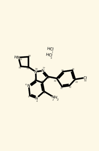 Cl.Cl.Nc1ncnc2c1c(-c1ccc(Cl)cc1)nn2C1CNC1